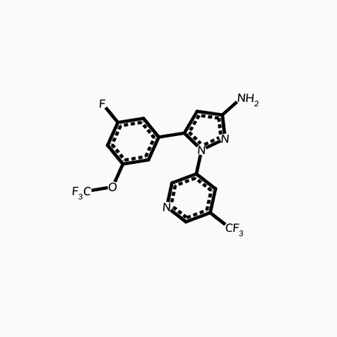 Nc1cc(-c2cc(F)cc(OC(F)(F)F)c2)n(-c2cncc(C(F)(F)F)c2)n1